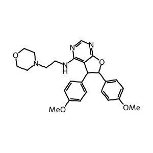 COc1ccc(C2Oc3ncnc(NCCN4CCOCC4)c3C2c2ccc(OC)cc2)cc1